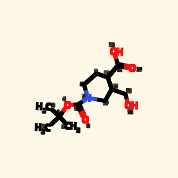 CC(C)(C)OC(=O)N1CCC(C(=O)O)C(CO)C1